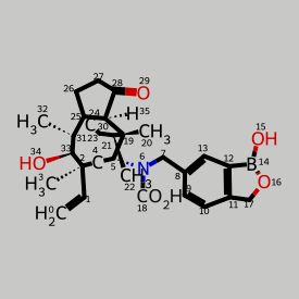 C=C[C@]1(C)C[C@@H](N(Cc2ccc3c(c2)B(O)OC3)C(=O)O)[C@]2(C)[C@H](C)CC[C@]3(CCC(=O)[C@H]32)[C@@H](C)[C@@H]1O